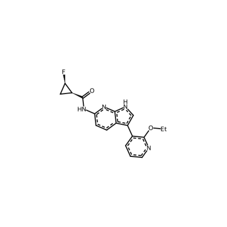 CCOc1ncccc1-c1c[nH]c2nc(NC(=O)[C@H]3C[C@H]3F)ccc12